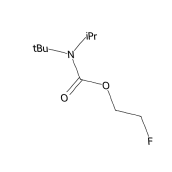 CC(C)N(C(=O)OCCF)C(C)(C)C